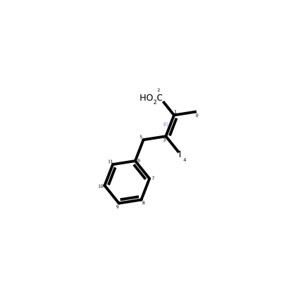 C/C(C(=O)O)=C(\I)Cc1ccccc1